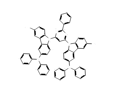 CC(C)(C)c1ccc2c(c1)c1cc(N(c3ccccc3)c3ccccc3)ccc1n2-c1cc(-n2c3ccc(N(c4ccccc4)c4ccccc4)cc3c3cc(C(C)(C)C)ccc32)nc(-c2ccccc2)n1